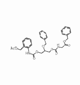 CC(=O)OCc1ccccc1NC(=O)OCC(COC(=O)NCC(=O)OCc1ccccc1)OCc1ccccc1